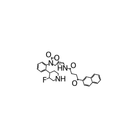 O=C(CCC(=O)c1ccc2ccccc2c1)NC[C@H]1CN(c2ccccc2C2CCNCC2F)C(=O)O1